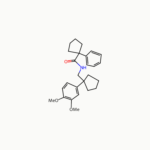 COc1ccc(C2(CNC(=O)C3(c4ccccc4)CCCC3)CCCC2)cc1OC